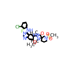 CNC(=O)[C@@]1(N(C)Cc2cc3c(Nc4cccc(Cl)c4F)ncnc3cc2OC)CCCN(S(C)(=O)=O)C1